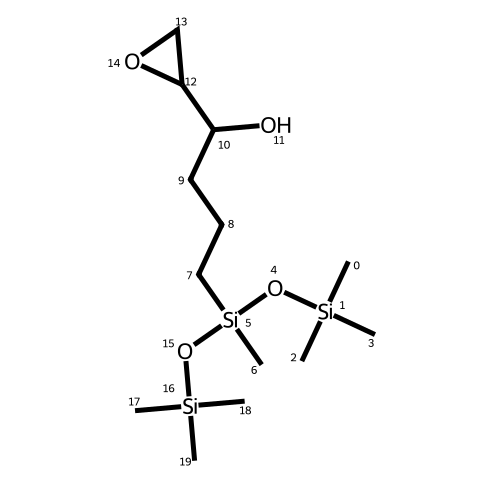 C[Si](C)(C)O[Si](C)(CCCC(O)C1CO1)O[Si](C)(C)C